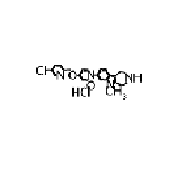 Cl.Cn1c2c(c3ccc(-n4ccc(OCc5ccc(Cl)cn5)cc4=O)cc31)CCNCC2